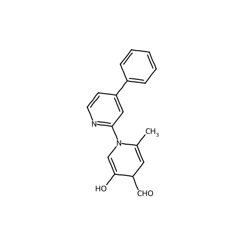 CC1=CC(C=O)C(O)=CN1c1cc(-c2ccccc2)ccn1